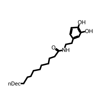 CCCCCCCCCCCCCCCCCCCC(=O)NCCc1ccc(O)c(O)c1